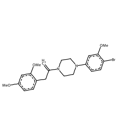 C=C(Cc1ccc(OC)cc1OC)N1CCN(c2ccc(Br)c(OC)c2)CC1